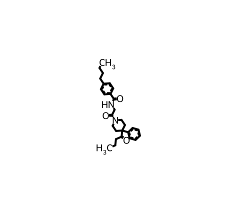 CCCCc1ccc(C(=O)NCC(=O)N2CCC(C(=O)CCC)(c3ccccc3)CC2)cc1